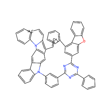 C=Cc1c(/C=C\C)n(-c2ccccc2)c2cc3c4ccccc4n(-c4cccc(-c5nc(-c6ccccc6)nc(-c6cc(-c7ccccc7)c7c(c6)oc6ccccc67)n5)c4)c3cc12